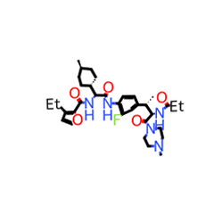 CCC(=O)N[C@@H](C(=O)N1CCN(C)CC1)[C@@H](C)c1ccc(NC(=O)[C@@H](NC(=O)c2occc2CC)[C@H]2CC[C@H](C)CC2)c(F)c1